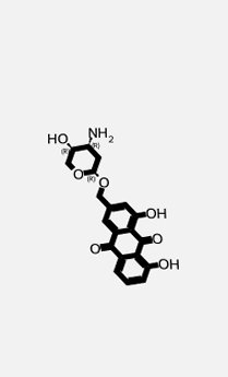 N[C@@H]1C[C@H](OCc2cc(O)c3c(c2)C(=O)c2cccc(O)c2C3=O)OC[C@@H]1O